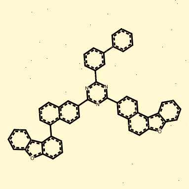 c1ccc(-c2cccc(-c3nc(-c4ccc5c(-c6cccc7oc8ccccc8c67)cccc5c4)nc(-c4ccc5c(ccc6oc7ccccc7c65)c4)n3)c2)cc1